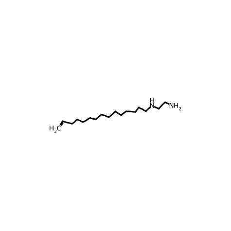 C=CCCCCCCCCCCCCCNCCN